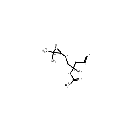 CC(=O)SC(C)(CC=O)CCC1OC1(C)C